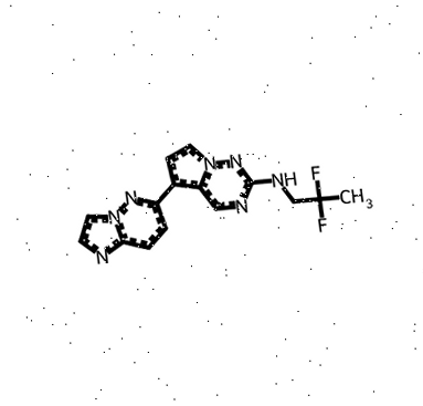 CC(F)(F)CNc1ncc2c(-c3ccc4nccn4n3)ccn2n1